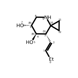 CCC=C[C@@H]1[C@@H](O)[C@H](O)CNC12CC2